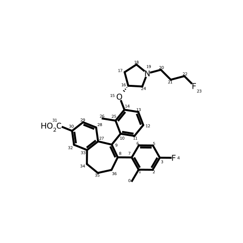 Cc1cc(F)ccc1C1=C(c2cccc(O[C@@H]3CCN(CCCF)C3)c2C)c2ccc(C(=O)O)cc2CCC1